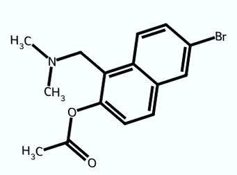 CC(=O)Oc1ccc2cc(Br)ccc2c1CN(C)C